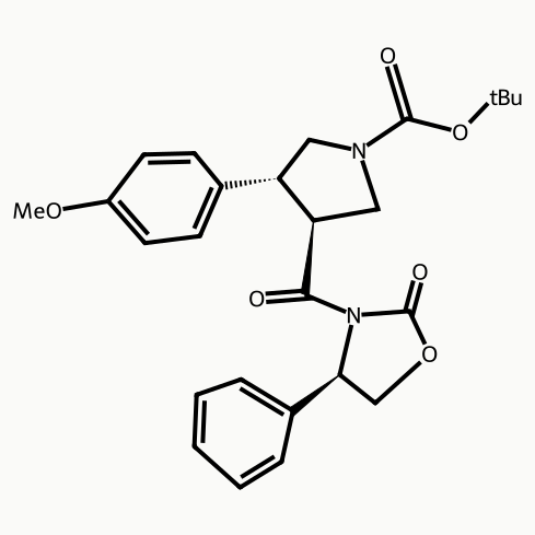 COc1ccc([C@@H]2CN(C(=O)OC(C)(C)C)C[C@H]2C(=O)N2C(=O)OC[C@H]2c2ccccc2)cc1